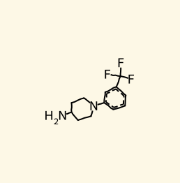 NC1CCN(c2cccc(C(F)(F)F)c2)CC1